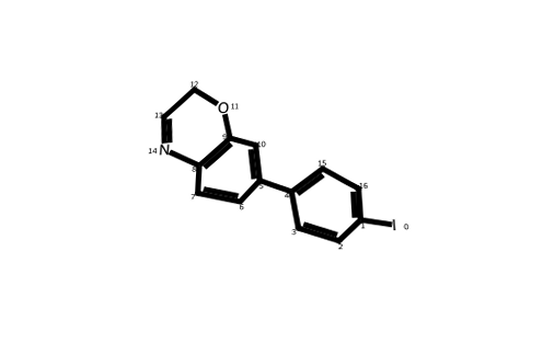 Ic1ccc(-c2ccc3c(c2)OCC=N3)cc1